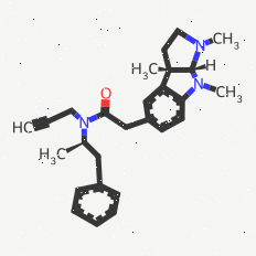 C#CCN(C(=O)Cc1ccc2c(c1)[C@]1(C)CCN(C)[C@@H]1N2C)[C@H](C)Cc1ccccc1